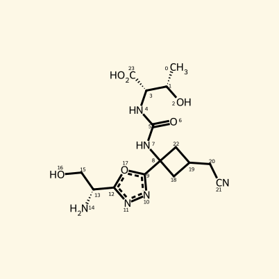 C[C@H](O)[C@H](NC(=O)NC1(c2nnc([C@H](N)CO)o2)CC(CC#N)C1)C(=O)O